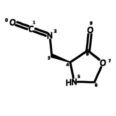 O=C=NC[C@@H]1NCOC1=O